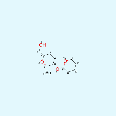 CC[C@H](C)[C@@H]1O[C@H](CO)CC[C@@H]1O[C@H]1CCCCO1